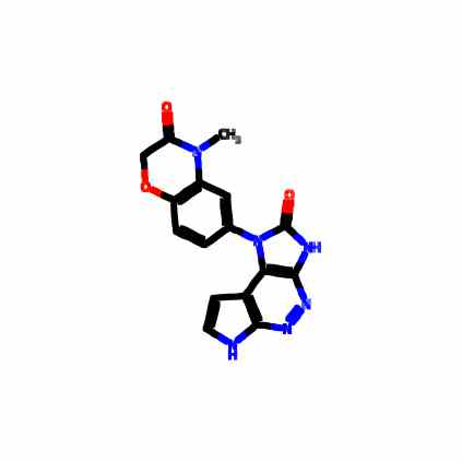 CN1C(=O)COc2ccc(-n3c(=O)[nH]c4nnc5[nH]ccc5c43)cc21